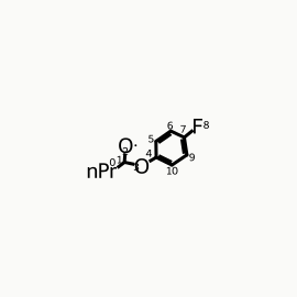 CCCC([O])Oc1ccc(F)cc1